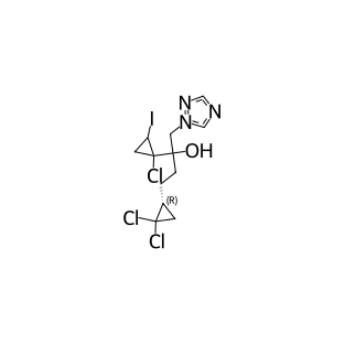 OC(CC[C@@H]1CC1(Cl)Cl)(Cn1cncn1)C1(Cl)CC1I